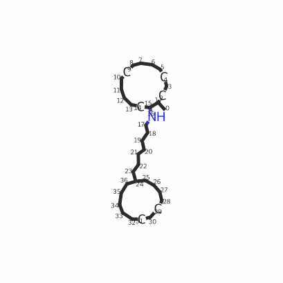 CC1CCCCCCCCCCCCCC1NCCCCCCCC1CCCCCCCCCCCC1